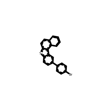 Brc1ccc(-c2ccc3sc4ccc5c(c4c3c2)C=C=C=C5)cc1